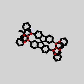 C=Cc1c(/C=C\C)n(-c2ccc3c(c2)C2(c4cc(-n5c6ccccc6c6ccccc65)ccc4-3)c3cc(-n4c5ccccc5c5ccccc54)ccc3-c3ccc(-n4c5ccccc5c5ccccc54)cc32)c2ccccc12